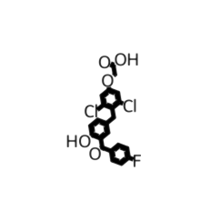 O=C(O)COc1cc(Cl)c(Cc2ccc(O)c(C(=O)c3ccc(F)cc3)c2)c(Cl)c1